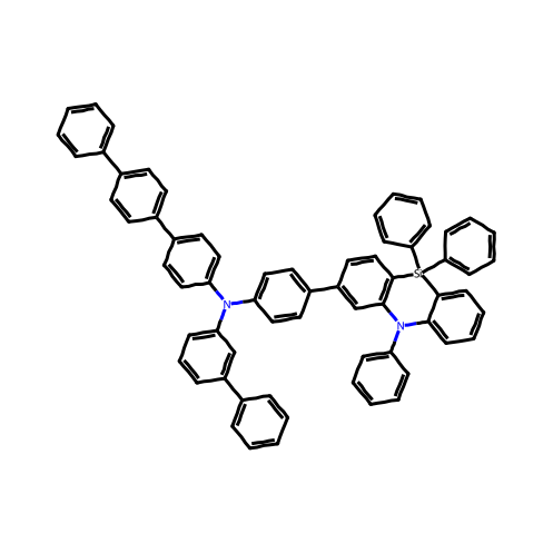 c1ccc(-c2ccc(-c3ccc(N(c4ccc(-c5ccc6c(c5)N(c5ccccc5)c5ccccc5[Si]6(c5ccccc5)c5ccccc5)cc4)c4cccc(-c5ccccc5)c4)cc3)cc2)cc1